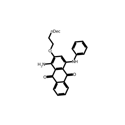 CCCCCCCCCCCCOc1cc(Nc2ccccc2)c2c(c1N)C(=O)c1ccccc1C2=O